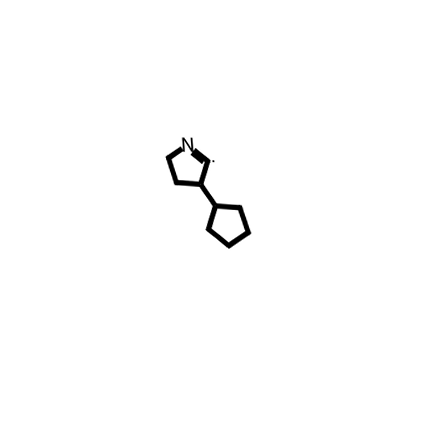 [C]1=NCCC1C1CCCC1